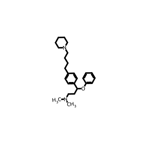 CN(C)CCC(Oc1ccccc1)c1ccc(CCCCN2CCCCC2)cc1